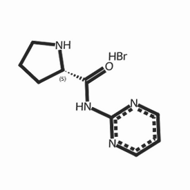 Br.O=C(Nc1ncccn1)[C@@H]1CCCN1